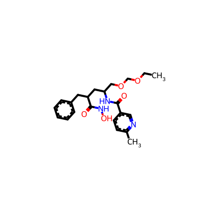 CCOCOCC(CC(Cc1ccccc1)C(=O)NO)NC(=O)c1ccc(C)nc1